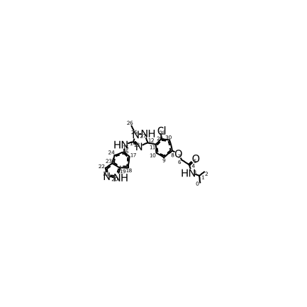 CC(C)NC(=O)COc1ccc(C2N=C(Nc3ccc4[nH]ncc4c3)N(C)N2)c(Cl)c1